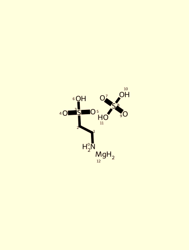 NCCS(=O)(=O)O.O=S(=O)(O)O.[MgH2]